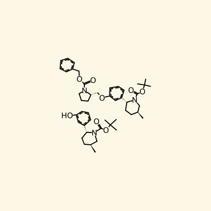 C[C@H]1CC[C@H](c2cccc(O)c2)N(C(=O)OC(C)(C)C)C1.C[C@H]1CC[C@H](c2cccc(OC[C@@H]3CCCN3C(=O)OCc3ccccc3)c2)N(C(=O)OC(C)(C)C)C1